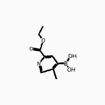 CCOC(=O)c1cc(B(O)O)c(C)cn1